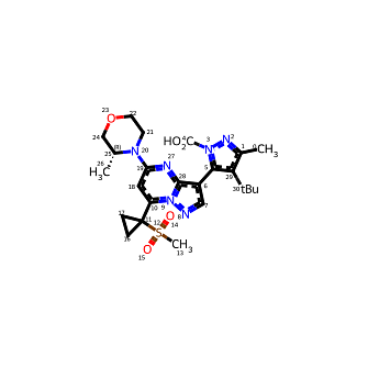 Cc1nn(C(=O)O)c(-c2cnn3c(C4(S(C)(=O)=O)CC4)cc(N4CCOC[C@H]4C)nc23)c1C(C)(C)C